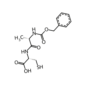 C[C@H](NC(=O)OCc1ccccc1)C(=O)N[C@H](CS)C(=O)O